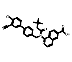 CC(C)(C)CC(=O)N(Cc1ccc(-c2ccc(Cl)c(C#N)c2)cc1)c1nccc2cc(C(=O)O)ccc12